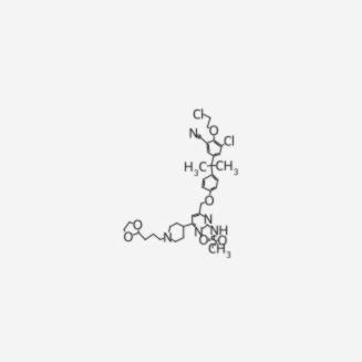 CC(C)(c1ccc(OCc2cc(C3CCN(CCCC4OCCO4)CC3)nc(NS(C)(=O)=O)n2)cc1)c1cc(Cl)c(OCCCl)c(C#N)c1